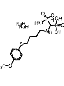 COc1ccc(SCCCCNC(P(=O)(O)O)P(=O)(O)O)cc1.[NaH].[NaH]